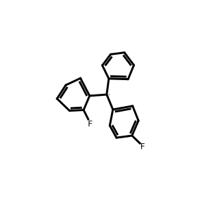 Fc1ccc([C](c2ccccc2)c2ccccc2F)cc1